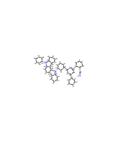 N#Cc1ccccc1-c1cc(-c2ccccc2)cc(-c2cccc(-n3c4ccccc4c4ccc5c(c6ccccc6n5-c5ccccc5)c43)c2)n1